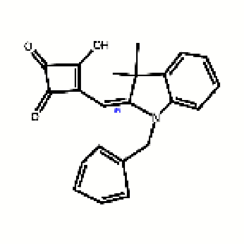 CC1(C)/C(=C\c2c(O)c(=O)c2=O)N(Cc2ccccc2)c2ccccc21